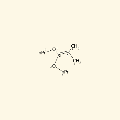 CCCOC(OCCC)=C(C)C